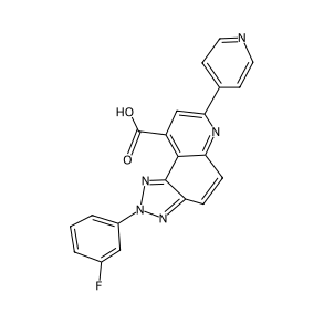 O=C(O)c1cc(-c2ccncc2)nc2ccc3nn(-c4cccc(F)c4)nc3c12